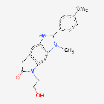 COc1ccc(C2Nc3cc4c(cc3N2C)N(CCO)C(=O)C4)cc1